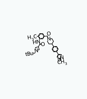 Cc1ccc(C(=O)N2CCC(c3ccc(-c4cnn(C)c4)cc3)CC2)cc1NC(=O)C1CN(CC(C)(C)C)C1